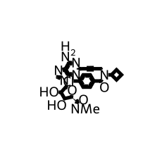 CNC(=O)[C@H]1O[C@@H](n2cnc3c(N)nc(C#CCN(C(=O)c4ccc(Cl)cc4)C4CCC4)nc32)C(O)[C@@H]1O